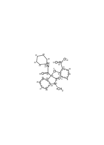 CN1C(=O)C(Oc2ccccc2[N+](=O)[O-])(C(=O)NC2CCCCC2)c2ccccc21